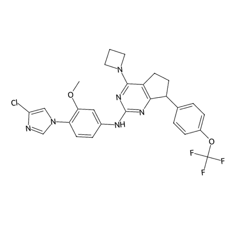 COc1cc(Nc2nc3c(c(N4CCC4)n2)CCC3c2ccc(OC(F)(F)F)cc2)ccc1-n1cnc(Cl)c1